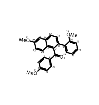 COc1ccc(C(=O)c2c(-c3ccccc3OC)ccc3cc(OC)ccc23)cc1